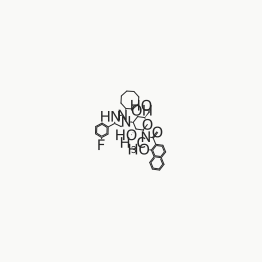 CN(C(=O)c1ccc2ccccc2c1O)[C@@H]1O[C@H](CO)[C@H](O)[C@H](N2CC(c3cccc(F)c3)NN2C2CCCCCCC2)[C@H]1O